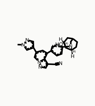 Cn1cc(-c2cc(-c3ccc(N4CC5CC[C@@H]4C[C@H](O)C5)nc3)c3c(C#N)cnn3c2)cn1